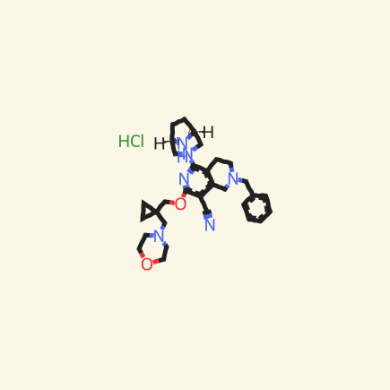 Cl.N#Cc1c(OCC2(CN3CCOCC3)CC2)nc(N2C[C@H]3CC[C@@H](C2)N3)c2c1CN(Cc1ccccc1)CC2